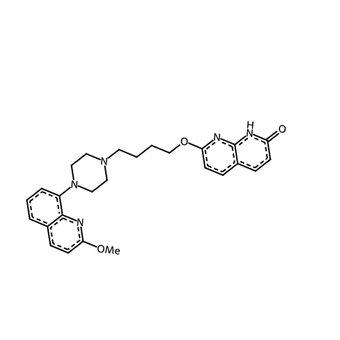 COc1ccc2cccc(N3CCN(CCCCOc4ccc5ccc(=O)[nH]c5n4)CC3)c2n1